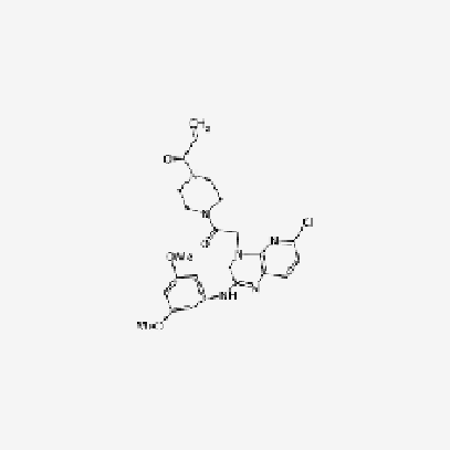 C=CC(=O)N1CCN(C(=O)CN2CC(Nc3cc(OC)cc(OC)c3)=Nc3ccc(Cl)nc32)CC1